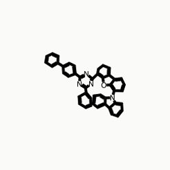 C1=c2c(oc3c(-n4c5ccccc5c5ccccc54)cccc23)=C(c2nc(-c3ccccc3)nc(-c3ccc(-c4ccccc4)cc3)n2)CC1